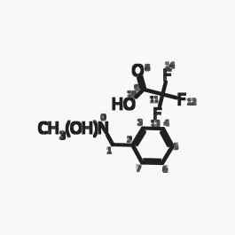 CN(O)Cc1ccccc1.O=C(O)C(F)(F)F